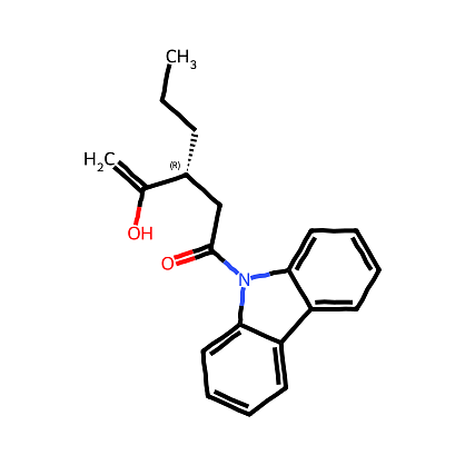 C=C(O)[C@H](CCC)CC(=O)n1c2ccccc2c2ccccc21